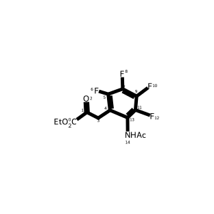 CCOC(=O)C(=O)Cc1c(F)c(F)c(F)c(F)c1NC(C)=O